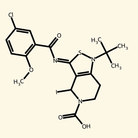 COc1ccc(Cl)cc1C(=O)N=c1sn(C(C)(C)C)c2c1C(I)N(C(=O)O)CC2